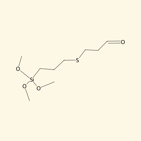 CO[Si](CCCSCCC=O)(OC)OC